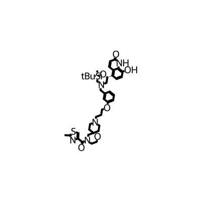 Cc1nc(C(=O)N2CCOC3(CCN(CCCOc4cccc(CN5C[C@@H](c6ccc(O)c7[nH]c(=O)ccc67)O[Si](C)(C(C)(C)C)C5)c4)CC3)C2)cs1